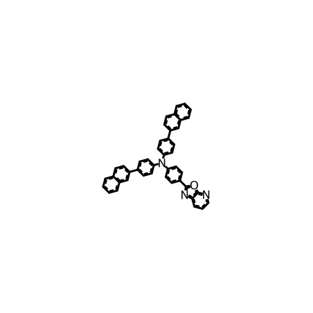 c1ccc2cc(-c3ccc(N(c4ccc(-c5ccc6ccccc6c5)cc4)c4ccc(-c5nc6cccnc6o5)cc4)cc3)ccc2c1